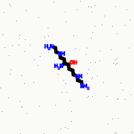 NCCNCCCC(O)C(N)CCNCCN